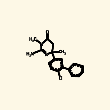 CN1C(=O)CC(C)(c2ccc(Cl)c(-c3ccccc3)c2)N=C1N